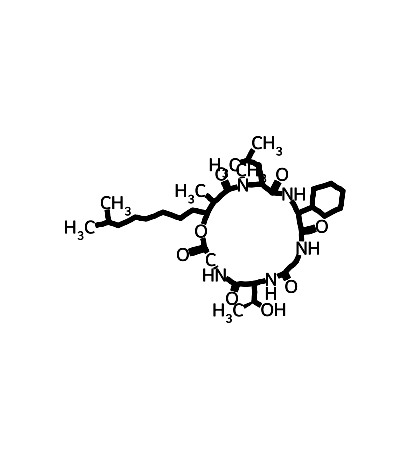 CC(C)CCCCCCC1OC(=O)CNC(=O)C([C@H](C)O)NC(=O)CNC(=O)C(C2CCCCC2)NC(=O)C(CC(C)C)N(C)C(=O)C1C